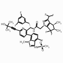 C[C@@H]1c2c(C(F)F)nn(CC(=O)N[C@@H](Cc3cc(F)cc(F)c3)c3nc(C#CC(C)(C)O)ccc3-c3ccc(F)c4c(NS(C)(=O)=O)nn(C)c34)c2C(F)(F)[C@@H]1C